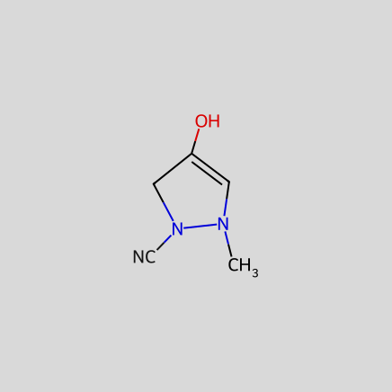 CN1C=C(O)CN1C#N